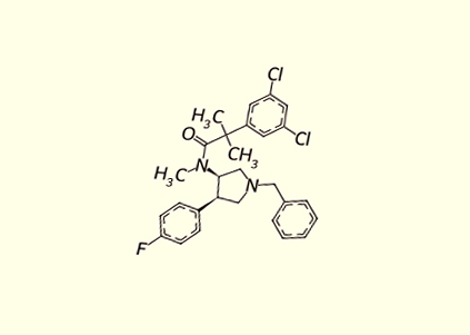 CN(C(=O)C(C)(C)c1cc(Cl)cc(Cl)c1)[C@H]1CN(Cc2ccccc2)C[C@H]1c1ccc(F)cc1